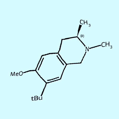 COc1cc2c(cc1C(C)(C)C)CN(C)[C@H](C)C2